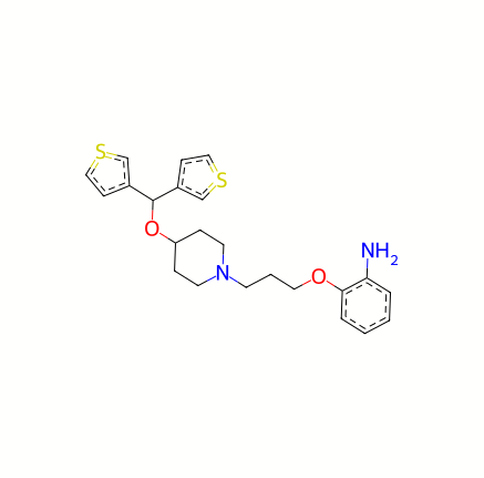 Nc1ccccc1OCCCN1CCC(OC(c2ccsc2)c2ccsc2)CC1